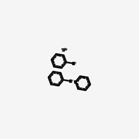 [O-]c1ccccc1.[O-]c1ccccc1.[Ti+2].c1ccncc1